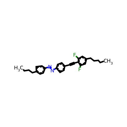 CCCCCc1cc(F)c(C#Cc2ccc(N=Nc3ccc(CCCC)cc3)cc2)c(F)c1